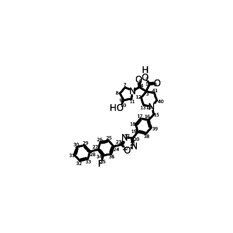 O=C(O)C1(C(=O)N2CCC(O)C2)CCN(Cc2ccc(-c3noc(-c4ccc(-c5ccccc5)c(F)c4)n3)cc2)CC1